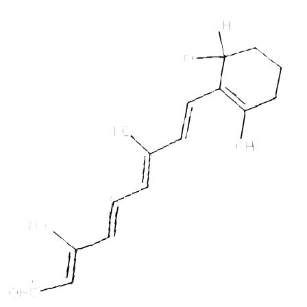 CCC1(C)CCCC(C)=C1/C=C/C(C)=C/C=C/C(C)=C/C=O